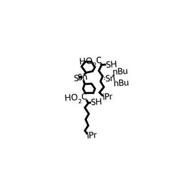 CC(C)CCCCCC(S)C(=O)O.CC(C)CCCCCC(S)C(=O)O.CCC[CH2][Sn][CH2]CCC.[S]=[Sn]([CH]1CCCCC1)[CH]1CCCCC1